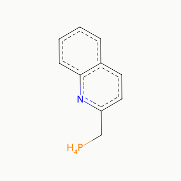 [PH4]Cc1ccc2ccccc2n1